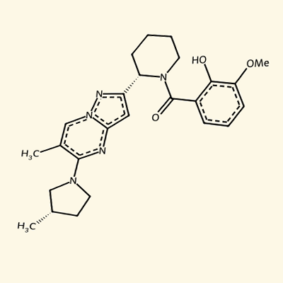 COc1cccc(C(=O)N2CCCC[C@H]2c2cc3nc(N4CC[C@H](C)C4)c(C)cn3n2)c1O